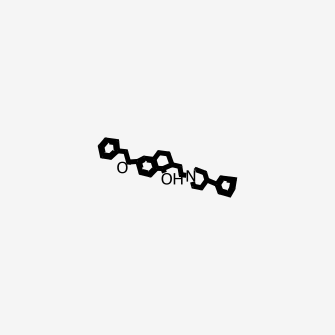 O=C(Cc1ccccc1)c1ccc2c(c1)CCC(CCN1CCC(c3ccccc3)CC1)C2O